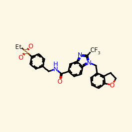 CCS(=O)(=O)c1ccc(CNC(=O)c2ccc3c(c2)nc(C(F)(F)F)n3Cc2cccc3c2CCO3)cc1